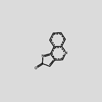 O=C1C=c2cnc3ccccc3c2=N1